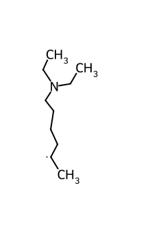 C[CH]CCCCN(CC)CC